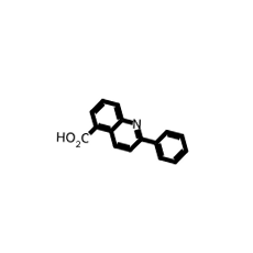 O=C(O)c1cccc2nc(-c3ccccc3)ccc12